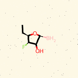 B[C@@H]1O[C@H](CC)[C@H](F)C1O